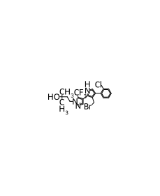 CC(C)(O)CCn1ncc(-c2[nH]cc(-c3ccccc3Cl)c2CBr)c1C(F)(F)F